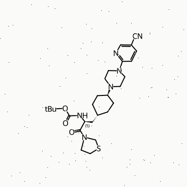 CC(C)(C)OC(=O)N[C@@H](C[C@H]1CC[C@H](N2CCN(c3ccc(C#N)cn3)CC2)CC1)C(=O)N1CCSC1